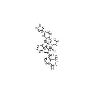 C[C@H](Nc1ncnc2[nH]ccc(=O)c12)c1c(Cl)c2cccc(-c3ccc(-c4nccs4)cc3)c2c(=O)n1-c1ccccc1